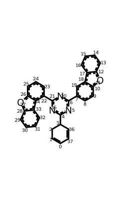 C1=CCC(c2nc(-c3ccc4oc5ccccc5c4c3)nc(-c3cccc4oc5ccccc5c34)n2)C=C1